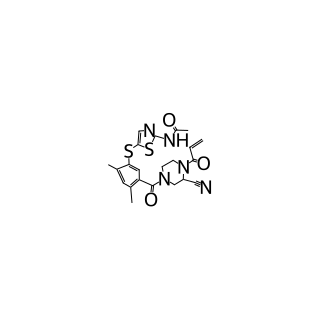 C=CC(=O)N1CCN(C(=O)c2cc(Sc3cnc(NC(C)=O)s3)c(C)cc2C)CC1C#N